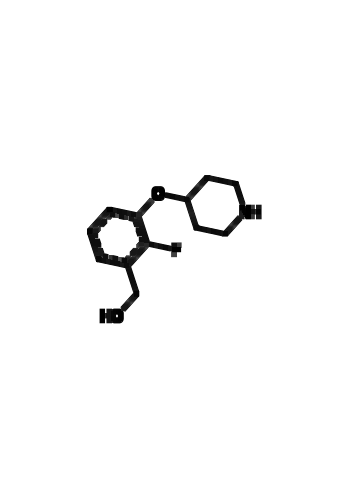 OCc1cccc(OC2CCNCC2)c1F